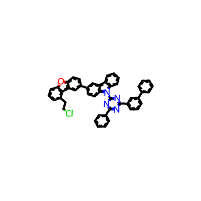 ClCCc1cccc2oc3ccc(-c4ccc5c(c4)c4ccccc4n5-c4nc(-c5ccccc5)nc(-c5cccc(-c6ccccc6)c5)n4)cc3c12